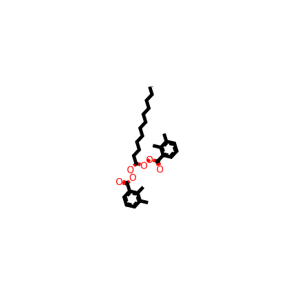 [CH2]CCCCCCCCCC[C](OOC(=O)c1cccc(C)c1C)OOC(=O)c1cccc(C)c1C